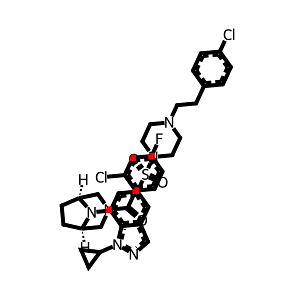 O=C(c1ccc(F)cc1Cl)N1C[C@H]2CC[C@@H](C1)N2c1cc(S(=O)(=O)N2CCN(CCc3ccc(Cl)cc3)CC2)cc2cnn(C3CC3)c12